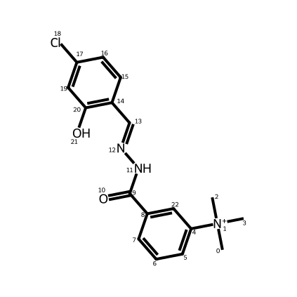 C[N+](C)(C)c1cccc(C(=O)N/N=C/c2ccc(Cl)cc2O)c1